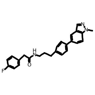 Cn1ncc2cc(-c3ccc(CCCNC(=O)Cc4ccc(F)cc4)cc3)ccc21